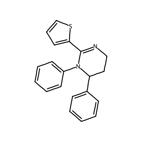 c1ccc(C2CCN=C(c3cccs3)N2c2ccccc2)cc1